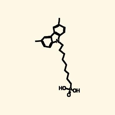 Cc1ccc2c(c1)c1cc(C)ccc1n2CCCCCCCCCP(=O)(O)O